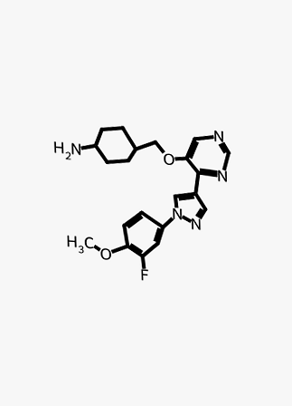 COc1ccc(-n2cc(-c3ncncc3OCC3CCC(N)CC3)cn2)cc1F